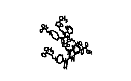 CC(=O)CCN1CCC(Nc2nc3cccnc3n2Cc2ccc(C)o2)CC1.CC(=O)CCN1CCC(Nc2nc3cccnc3n2Cc2ccc(C)o2)CC1.O=C(O)C(=O)O